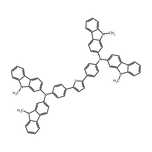 Cn1c2ccccc2c2ccc(N(c3ccc(-c4ccc(-c5ccc(N(c6ccc7c8ccccc8n(C)c7c6)c6ccc7c8ccccc8n(C)c7c6)cc5)s4)cc3)c3ccc4c5ccccc5n(C)c4c3)cc21